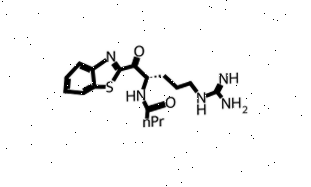 CCCC(=O)N[C@@H](CCCNC(=N)N)C(=O)c1nc2ccccc2s1